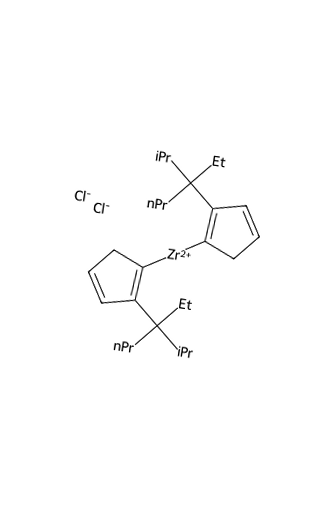 CCCC(CC)(C1=[C]([Zr+2][C]2=C(C(CC)(CCC)C(C)C)C=CC2)CC=C1)C(C)C.[Cl-].[Cl-]